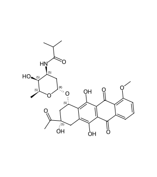 COc1cccc2c1C(=O)c1c(O)c3c(c(O)c1C2=O)C[C@@](O)(C(C)=O)C[C@@H]3O[C@H]1C[C@H](NC(=O)C(C)C)[C@H](O)[C@H](C)O1